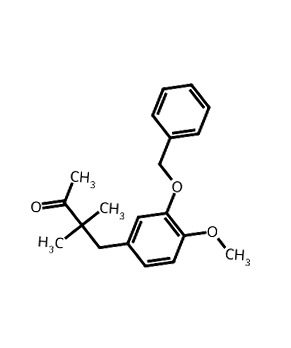 COc1ccc(CC(C)(C)C(C)=O)cc1OCc1ccccc1